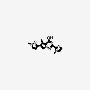 Cc1c(-c2ccn(C)n2)cn2nc(-c3nccn3C)nc(O)c12